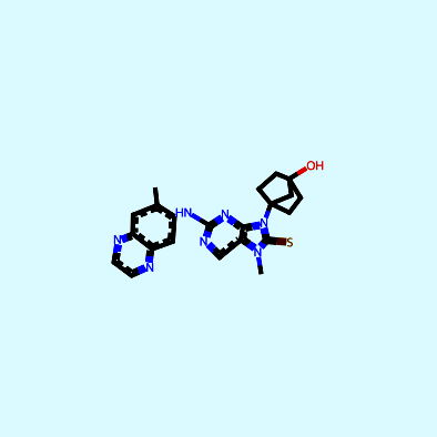 Cc1cc2nccnc2cc1Nc1ncc2c(n1)n(C13CCC(O)(CC1)C3)c(=S)n2C